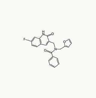 O=C(c1ccccc1)N(Cc1ccco1)Cc1cc2ccc(F)cc2[nH]c1=O